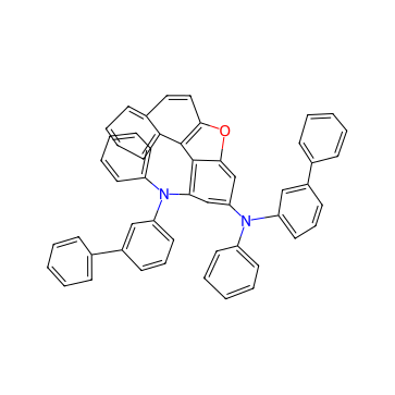 c1ccc(-c2cccc(N(c3ccccc3)c3cc(N(c4ccccc4)c4cccc(-c5ccccc5)c4)c4c(c3)oc3ccc5ccccc5c34)c2)cc1